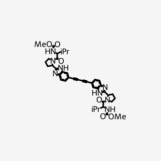 COC(=O)NC(C(=O)N1CCCC1c1nc2ccc(C#CC#Cc3ccc4nc(C5CCCN5C(=O)C(NC(=O)OC)C(C)C)[nH]c4c3)cc2[nH]1)C(C)C